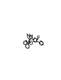 Cn1ncc(C(=O)N2CCCC3CCCCC32)c1-c1ccc(-c2ccccc2)c(F)c1